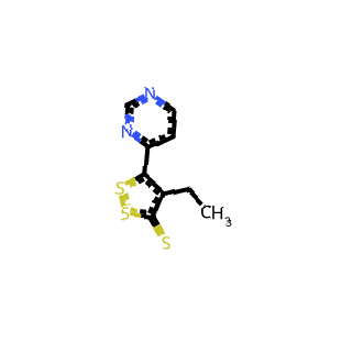 CCc1c(-c2ccncn2)ssc1=S